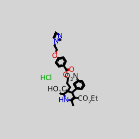 CCOC(=O)C1=C(C)NC(C)C(CCCOC(=O)c2ccc(OCCn3ccnc3)cc2)(C(=O)O)C1c1cccc([N+](=O)[O-])c1.Cl